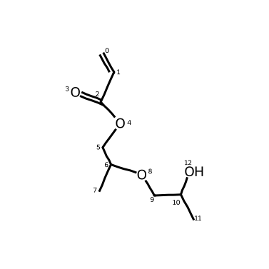 C=CC(=O)OCC(C)OCC(C)O